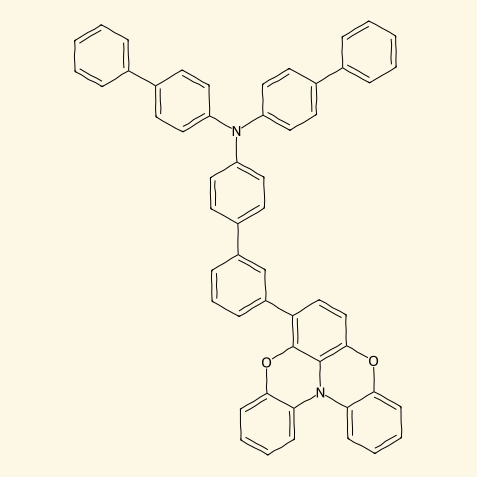 c1ccc(-c2ccc(N(c3ccc(-c4ccccc4)cc3)c3ccc(-c4cccc(-c5ccc6c7c5Oc5ccccc5N7c5ccccc5O6)c4)cc3)cc2)cc1